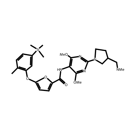 CNCC1CCN(c2nc(OC)c(NC(=O)c3ccc(Oc4cc([Si](C)(C)C)ccc4C)o3)c(OC)n2)C1